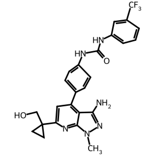 Cn1nc(N)c2c(-c3ccc(NC(=O)Nc4cccc(C(F)(F)F)c4)cc3)cc(C3(CO)CC3)nc21